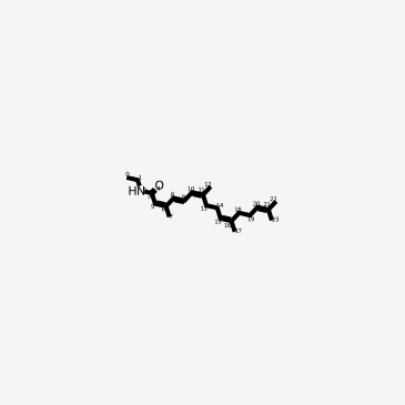 CCNC(=O)C=C(C)C=CC=C(C)CCC=C(C)CCC=C(C)C